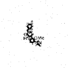 COc1c(-n2cnc(C)c2)ccc2[nH]c3c(=O)n(Cc4ccc(F)cc4)ncc3c12